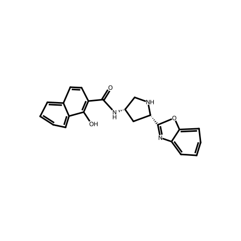 O=C(N[C@@H]1CN[C@H](c2nc3ccccc3o2)C1)c1ccc2ccccc2c1O